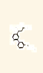 COc1cccc(-c2cc([C@@H](N)CC(=O)O)ccc2F)c1